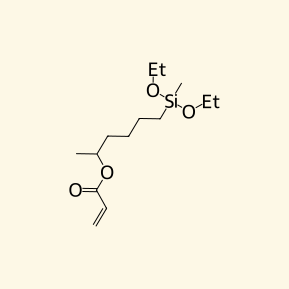 C=CC(=O)OC(C)CCCC[Si](C)(OCC)OCC